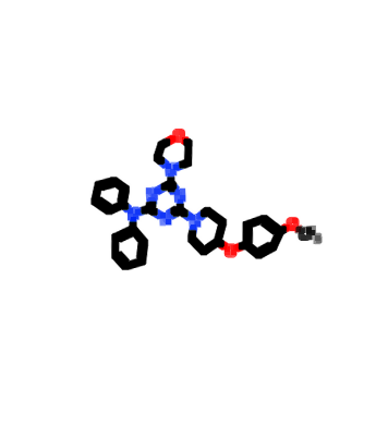 FC(F)(F)Oc1ccc(OC2CCN(c3nc(N4CCOCC4)nc(N(c4ccccc4)c4ccccc4)n3)CC2)cc1